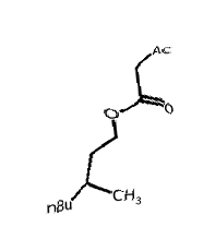 CCCCC(C)CCOC(=O)CC(C)=O